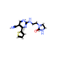 N#Cc1cnc(NCCN2CCNC2=O)nc1-c1cccs1